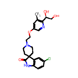 O=C1Nc2ccc(Cl)cc2C12CCN(CCOc1cnc([C@@H](O)CO)c(C(F)(F)F)c1)CC2